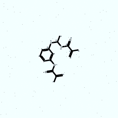 C=C(C)C(=O)Oc1cccc(OC(C)OC(=O)C(=C)C)c1